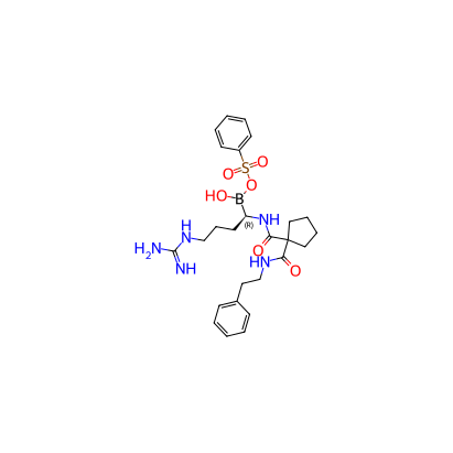 N=C(N)NCCC[C@H](NC(=O)C1(C(=O)NCCc2ccccc2)CCCC1)B(O)OS(=O)(=O)c1ccccc1